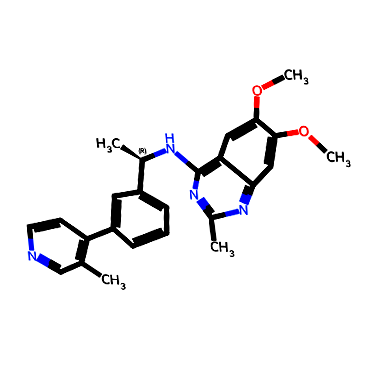 COc1cc2nc(C)nc(N[C@H](C)c3cccc(-c4ccncc4C)c3)c2cc1OC